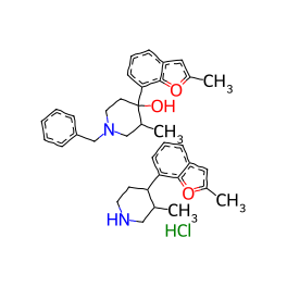 Cc1cc2cccc(C3(O)CCN(Cc4ccccc4)CC3C)c2o1.Cc1cc2cccc(C3CCNCC3C)c2o1.Cl